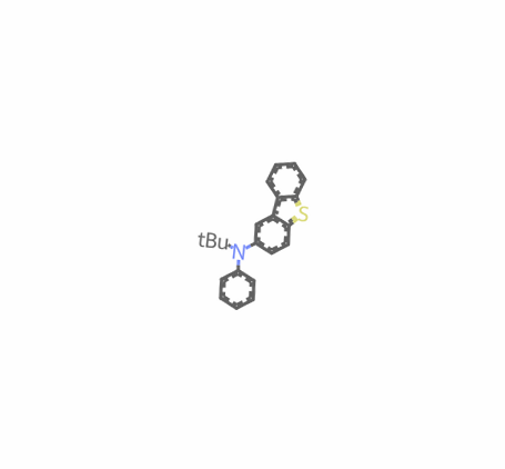 CC(C)(C)N(c1ccccc1)c1ccc2sc3ccccc3c2c1